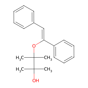 CC(C)(O)C(C)(C)OC(=Cc1ccccc1)c1ccccc1